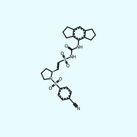 N#Cc1ccc(S(=O)(=O)N2CCC[C@H]2/C=C/S(=O)(=O)NC(=O)Nc2c3c(cc4c2CCC4)CCC3)cc1